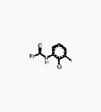 CCC(=O)Nc1cccc(I)c1Cl